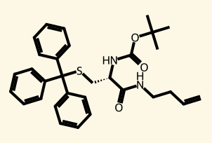 C=CCCNC(=O)[C@H](CSC(c1ccccc1)(c1ccccc1)c1ccccc1)NC(=O)OC(C)(C)C